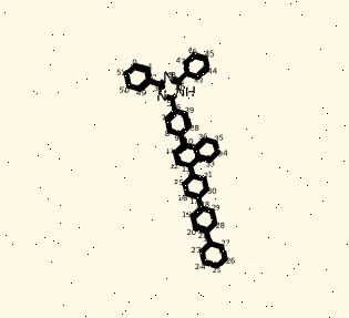 C1=CC(C2=NC(C3=CCC(C4=CCC(C5CC=C(C6=CC=C(C7CC=CCC7)CC6)CC5)C5=CCCC=C45)C=C3)NC(C3C=CCCC3)=N2)=CCC1